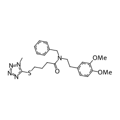 COc1ccc(CCN(Cc2ccccc2)C(=O)CCCSc2nnnn2C)cc1OC